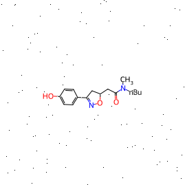 CCCCN(C)C(=O)CC1CC(c2ccc(O)cc2)=NO1